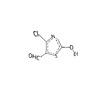 CCOc1nc(Cl)c(C=O)s1